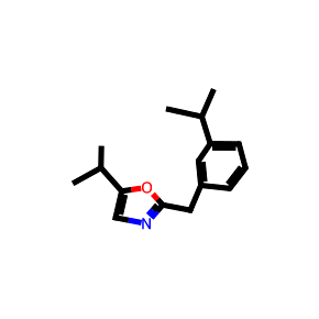 CC(C)c1cccc(Cc2ncc(C(C)C)o2)c1